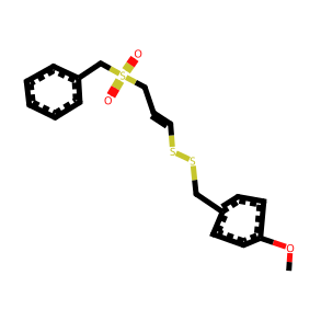 COc1ccc(CSSC=CCS(=O)(=O)Cc2ccccc2)cc1